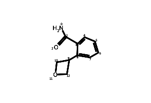 NC(=O)c1ccccc1C1COC1